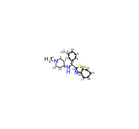 CN1CCC(NC(c2cccc(I)c2)c2nc3ccccc3s2)CC1